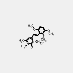 COc1ccc(OC)c(OC)c1C=Cc1cc(C)n(C)c(=O)[n+]1C.[Cl-]